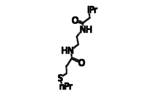 CCCSCCC(=O)NCCNC(=O)CC(C)C